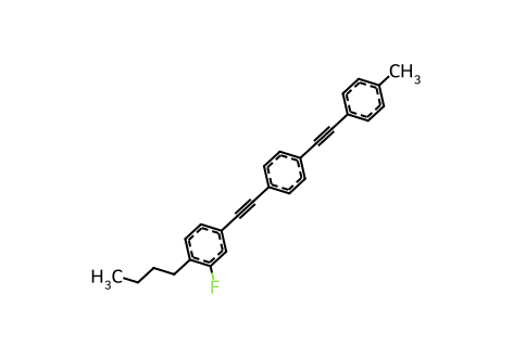 CCCCc1ccc(C#Cc2ccc(C#Cc3ccc(C)cc3)cc2)cc1F